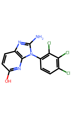 Nc1nc2ccc(O)nc2n1-c1ccc(Cl)c(Cl)c1Cl